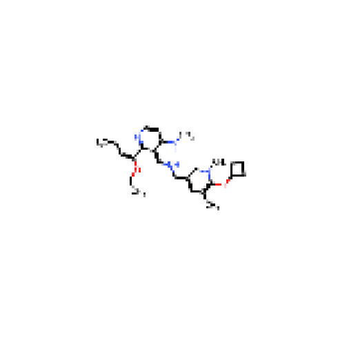 CC/C=C(/OCC)C1=NC=CC(NC)/C1=C\NCC1=CC(C)=C(OC2CCC2)N(C)C1